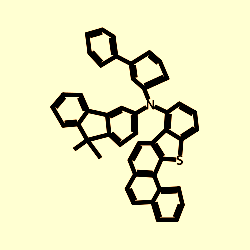 CC1(C)c2ccccc2-c2cc(N(c3cccc(-c4ccccc4)c3)c3cccc4sc5c(ccc6ccc7ccccc7c65)c34)ccc21